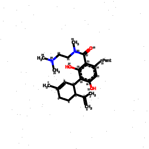 C=C(C)C1CCC(C)=CC1c1c(O)cc(CCCCC)c(C(=O)N(C)CCN(C)C)c1O